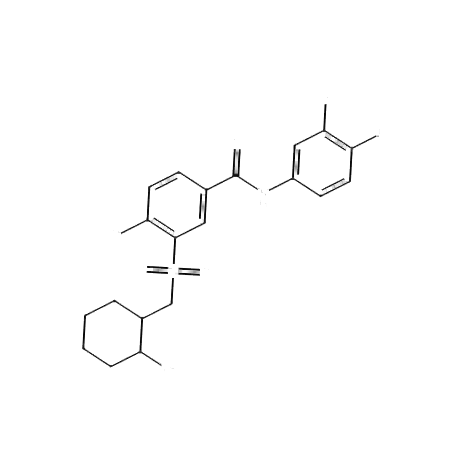 O=C(Nc1ccc(F)c(Br)c1)c1ccc(Cl)c(S(=O)(=O)CC2CCCCC2O)c1